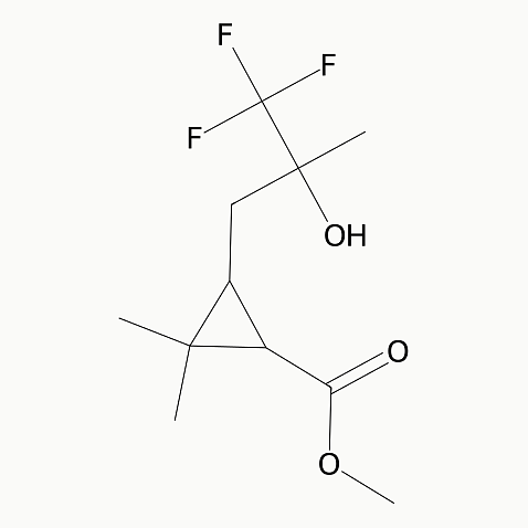 COC(=O)C1C(CC(C)(O)C(F)(F)F)C1(C)C